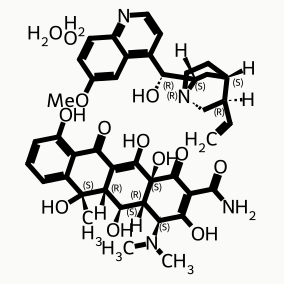 C=C[C@H]1C[N@]2CC[C@H]1C[C@H]2[C@H](O)c1ccnc2ccc(OC)cc12.CN(C)[C@@H]1C(O)=C(C(N)=O)C(=O)[C@@]2(O)C(O)=C3C(=O)c4c(O)cccc4[C@@](C)(O)[C@H]3[C@H](O)[C@@H]12.O.O